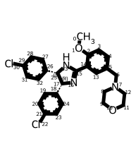 COc1ccc(CN2CCOCC2)cc1C1=N[C@H](c2ccc(Cl)cc2)[C@H](c2ccc(Cl)cc2)N1